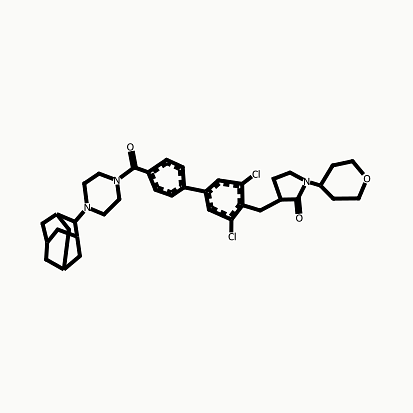 O=C(c1ccc(-c2cc(Cl)c(CC3CCN(C4CCOCC4)C3=O)c(Cl)c2)cc1)N1CCN(C2C3CC4CC(C3)CC2C4)CC1